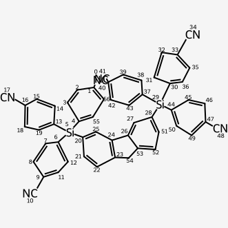 [C-]#[N+]c1ccc([Si](c2ccc(C#N)cc2)(c2ccc([N+]#[C-])cc2)c2ccc3c(c2)-c2cc([Si](c4ccc(C#N)cc4)(c4ccc(C#N)cc4)c4ccc(C#N)cc4)ccc2C3)cc1